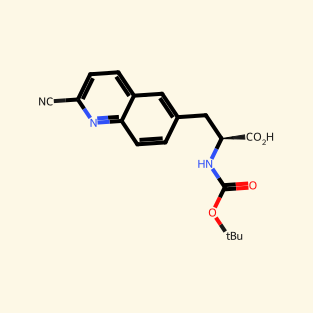 CC(C)(C)OC(=O)N[C@@H](Cc1ccc2nc(C#N)ccc2c1)C(=O)O